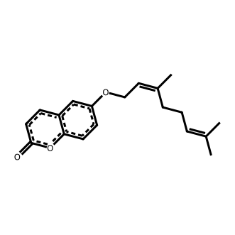 CC(C)=CCCC(C)=CCOc1ccc2oc(=O)ccc2c1